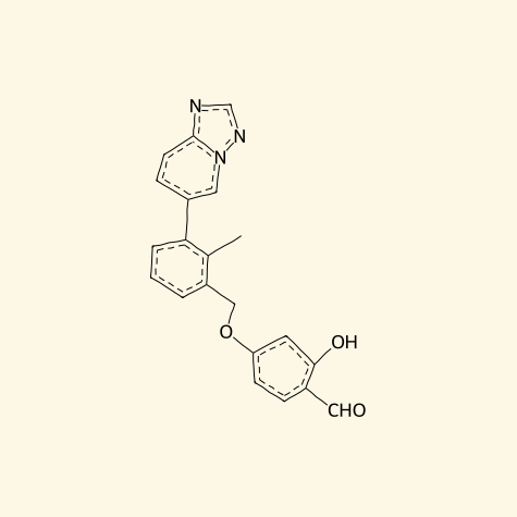 Cc1c(COc2ccc(C=O)c(O)c2)cccc1-c1ccc2ncnn2c1